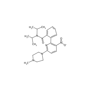 CC(C)N(C(=O)c1ccccc1-c1nc(N2CCN(C)CC2)ccc1[N+](=O)[O-])C(C)C